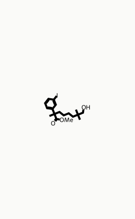 COC(=O)C(C)(CCCCC(C)(C)CO)c1cccc(I)c1